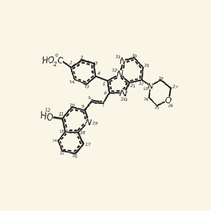 O=C(O)c1ccc(-c2c(C=Cc3cc(O)c4ccccc4n3)nc3c(N4CCOCC4)ccnn23)cc1